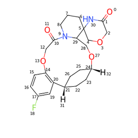 O=C1COCC2(CCCN3C(=O)COc4ccc(F)cc4[C@H]4CC[C@H](CC4)OCC32)N1